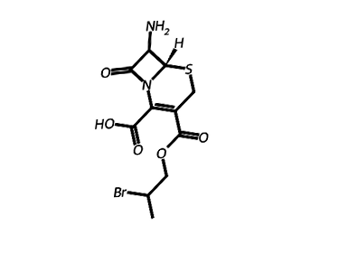 CC(Br)COC(=O)C1=C(C(=O)O)N2C(=O)C(N)[C@@H]2SC1